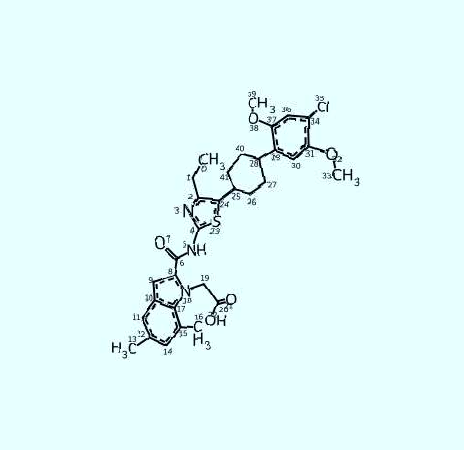 CCc1nc(NC(=O)c2cc3cc(C)cc(C)c3n2CC(=O)O)sc1C1CCC(c2cc(OC)c(Cl)cc2OC)CC1